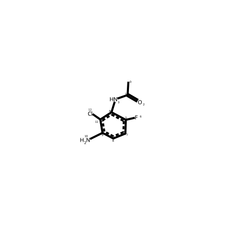 CC(=O)Nc1c(F)ccc(N)c1Cl